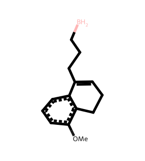 BCCCC1=CCCc2c(OC)cccc21